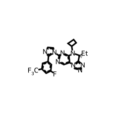 CC[C@@H]1c2nncn2-c2cnc(-n3ccnc3-c3cc(F)cc(C(F)(F)F)c3)nc2N1C1CCC1